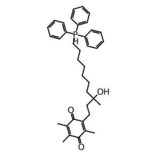 CC1=C(C)C(=O)C(CCC(C)(O)CCCCCCC[PH](c2ccccc2)(c2ccccc2)c2ccccc2)=C(C)C1=O